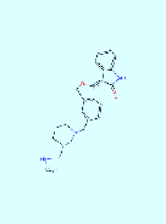 O=C(O)NCC1CCCN(Cc2ccc3c(c2)CO/C3=C2/C(=O)Nc3ccccc32)C1